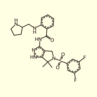 CC1(C)c2[nH]nc(NC(=O)c3ccccc3NCC3CCCN3)c2CN1S(=O)(=O)c1cc(F)cc(F)c1